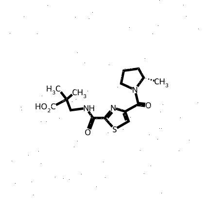 C[C@H]1CCCN1C(=O)c1csc(C(=O)NCC(C)(C)C(=O)O)n1